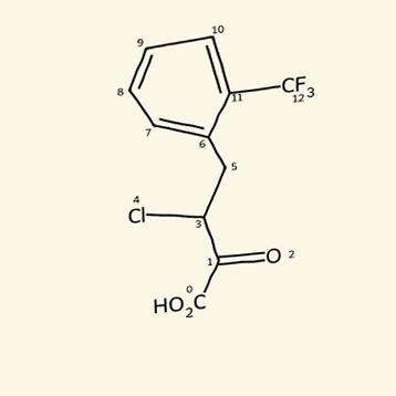 O=C(O)C(=O)C(Cl)Cc1ccccc1C(F)(F)F